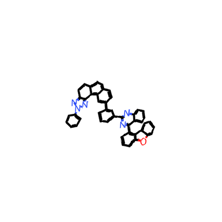 c1ccc(-n2nc3ccc4ccc5ccc(-c6cccc(-c7nc(-c8cccc9oc%10ccccc%10c89)c8ccccc8n7)c6)cc5c4c3n2)cc1